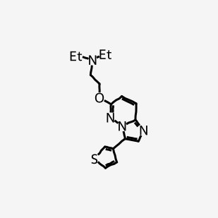 CCN(CC)CCOc1ccc2ncc(-c3ccsc3)n2n1